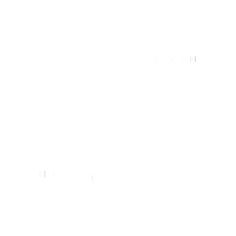 O=C(O)Sc1ccc(Cc2cc(=O)oc3cc(O)c(O)cc23)cc1